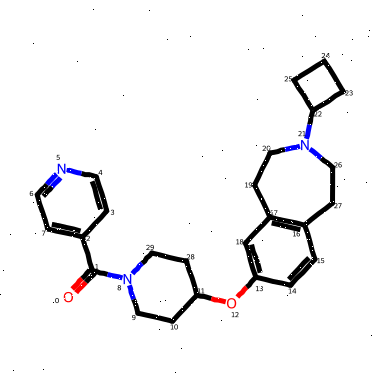 O=C(c1ccncc1)N1CCC(Oc2ccc3c(c2)CCN(C2CCC2)CC3)CC1